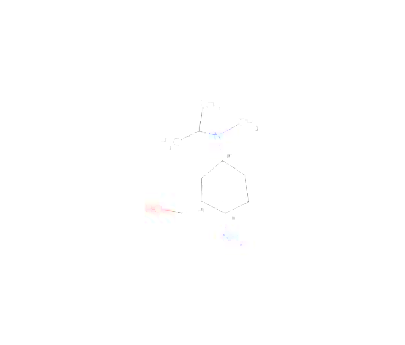 CC(C)N(C)[C@@H]1CC[C@H](N)[C@H](CO)C1